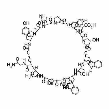 CCCC[C@H]1C(=O)N(C)[C@@H](C(C)CC)C(=O)N[C@@H](CN)C(=O)N[C@H](C(=O)NCC(N)=O)CSCC(=O)N[C@@H](Cc2ccc(O)cc2)C(=O)N(C)[C@@H](C)C(=O)N[C@@H](CC(N)=O)C(=O)N2CCC[C@H]2C(=O)N[C@@H](Cc2c[nH]cn2)C(=O)N[C@@H](CCC(=O)O)C(=O)N2C[C@H](O)C[C@H]2C(=O)C[C@@H](Cc2c[nH]c3ccccc23)C(=O)N[C@@H](CO)C(=O)N[C@@H](Cc2c[nH]c3ccccc23)C(=O)N1C